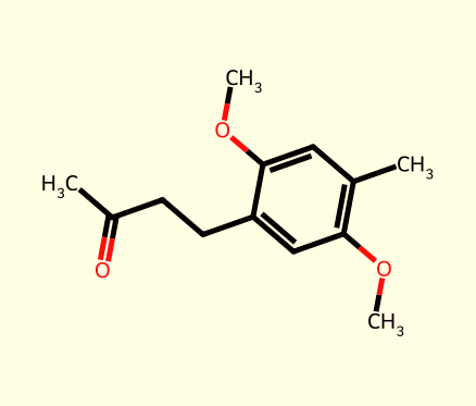 COc1cc(CCC(C)=O)c(OC)cc1C